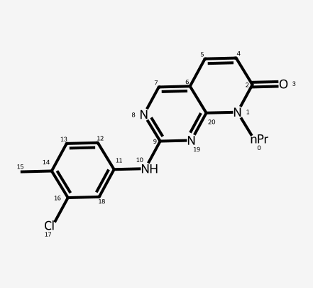 CCCn1c(=O)ccc2cnc(Nc3ccc(C)c(Cl)c3)nc21